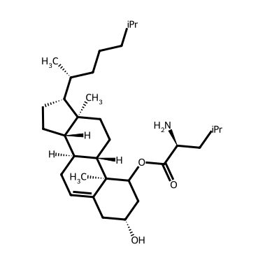 CC(C)CCC[C@@H](C)[C@H]1CC[C@H]2[C@@H]3CC=C4C[C@@H](O)CC(OC(=O)[C@@H](N)CC(C)C)[C@]4(C)[C@H]3CC[C@]12C